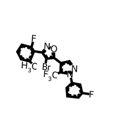 Cc1cccc(F)c1-c1noc(-c2cnn(-c3cccc(F)c3)c2C(F)(F)F)c1Br